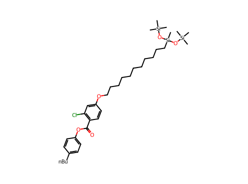 CCCCc1ccc(OC(=O)c2ccc(OCCCCCCCCCCC[Si](C)(O[Si](C)(C)C)O[Si](C)(C)C)cc2Cl)cc1